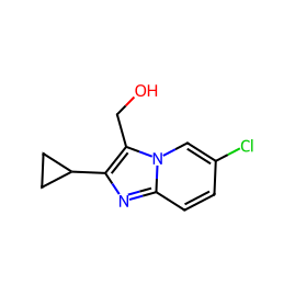 OCc1c(C2CC2)nc2ccc(Cl)cn12